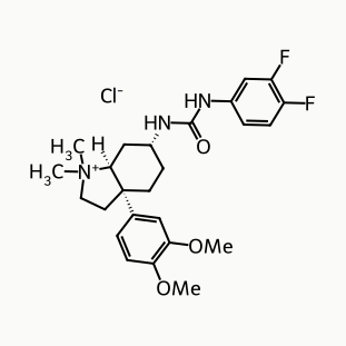 COc1ccc([C@@]23CC[C@@H](NC(=O)Nc4ccc(F)c(F)c4)C[C@@H]2[N+](C)(C)CC3)cc1OC.[Cl-]